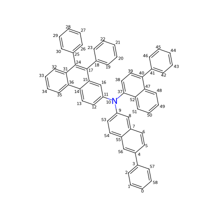 c1ccc(-c2ccc3cc(N(c4ccc5c(c4)c(-c4ccccc4)c(-c4ccccc4)c4ccccc45)c4ccc(-c5ccccc5)c5ccccc45)ccc3c2)cc1